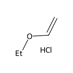 C=COCC.Cl